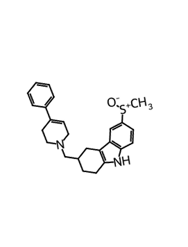 C[S+]([O-])c1ccc2[nH]c3c(c2c1)CC(CN1CC=C(c2ccccc2)CC1)CC3